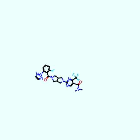 CN(C)C(=O)c1cnc(N2CC3CN(C(=O)c4c(F)cccc4-n4nccn4)CC3C2)nc1C(F)(F)F